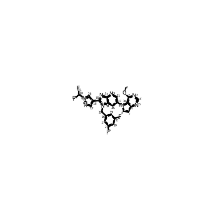 COc1ncnc2ccn(-c3cnc4nc(-c5cnn(C(F)F)c5)n(Cc5cc(F)cc(F)c5)c4c3)c12